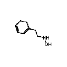 ONCCC1=CC=CCC1